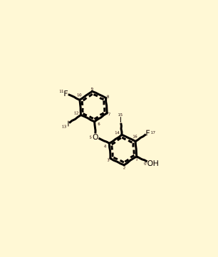 Oc1ccc(Oc2cccc(F)c2I)c(I)c1F